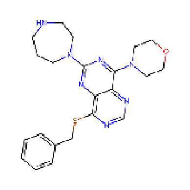 c1ccc(CSc2ncnc3c(N4CCOCC4)nc(N4CCCNCC4)nc23)cc1